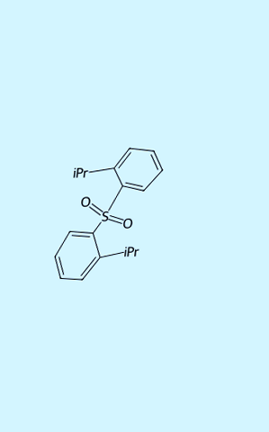 CC(C)c1ccccc1S(=O)(=O)c1ccccc1C(C)C